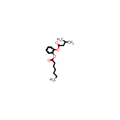 CCCCCCC(=O)Oc1ccccc1OC(=O)CC(C)C